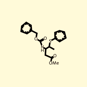 COC(=O)CC(NC(=O)OCc1ccccc1)C(C)Sc1ccccc1